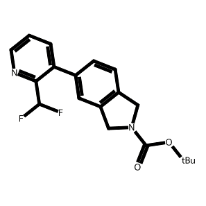 CC(C)(C)OC(=O)N1Cc2ccc(-c3cccnc3C(F)F)cc2C1